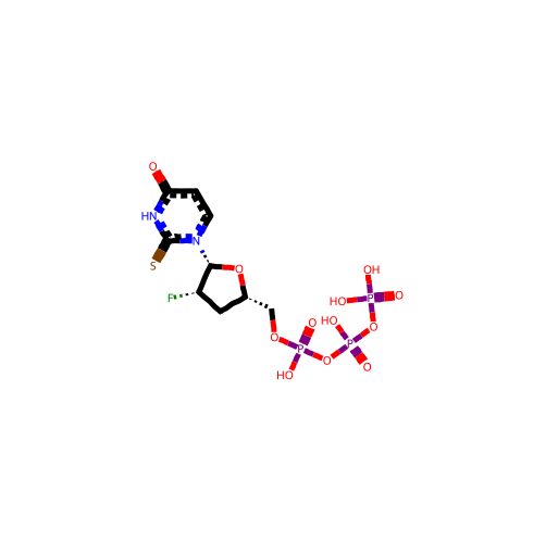 O=c1ccn([C@@H]2O[C@H](COP(=O)(O)OP(=O)(O)OP(=O)(O)O)C[C@@H]2F)c(=S)[nH]1